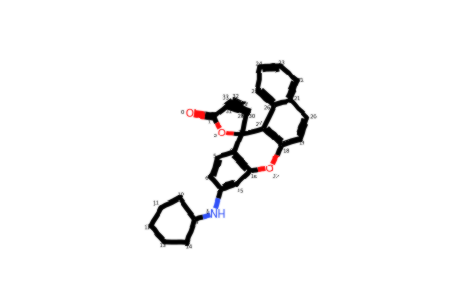 O=C1OC2(c3ccc(NC4CCCCC4)cc3Oc3ccc4ccccc4c32)c2ccccc21